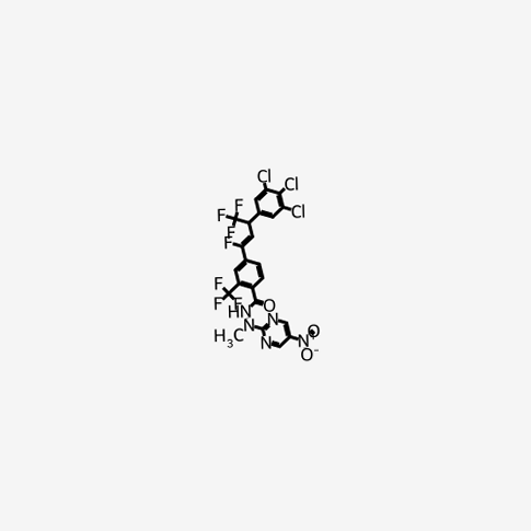 CN(NC(=O)c1ccc(C(F)=CC(c2cc(Cl)c(Cl)c(Cl)c2)C(F)(F)F)cc1C(F)(F)F)c1ncc([N+](=O)[O-])cn1